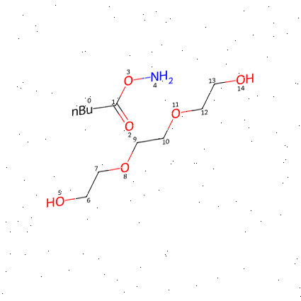 CCCCC(=O)ON.OCCOCCOCCO